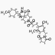 Cc1cc(CN2C(=O)CCC2=O)cc(C)c1CCS(=O)(=O)N1CCC2(CC1)N=C(C1CCC(C)CC1)NC2=O